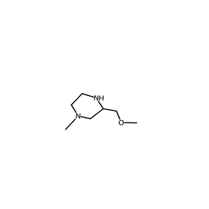 COCC1CN(C)CCN1